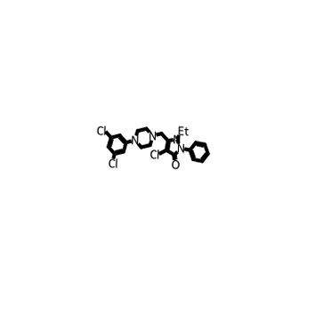 CCn1c(CN2CCN(c3cc(Cl)cc(Cl)c3)CC2)c(Cl)c(=O)n1-c1ccccc1